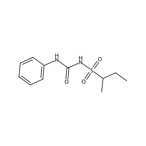 CCC(C)S(=O)(=O)NC(=O)Nc1ccccc1